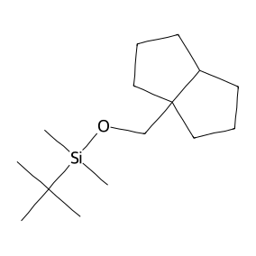 CC(C)(C)[Si](C)(C)OCC12CCCC1CCC2